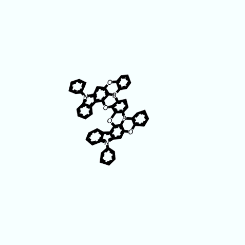 c1ccc(-n2c3ccccc3c3c4c5c(cc32)Oc2ccccc2B5c2ccc3c(c2O4)Oc2c4c(cc5c2c2ccccc2n5-c2ccccc2)Oc2ccccc2B34)cc1